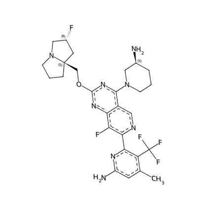 Cc1cc(N)nc(-c2ncc3c(N4CCC[C@H](N)C4)nc(OC[C@@]45CCCN4C[C@H](F)C5)nc3c2F)c1C(F)(F)F